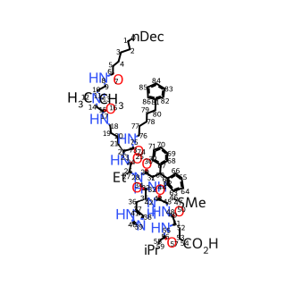 CCCCCCCCCCCCCCCC(=O)NCC[N+](C)(C)CC(=O)NCCCC[C@H](NC(=O)[C@H](CC)NC(=O)[C@@H](NC(=O)[C@H](Cc1cnc[nH]1)NC(=O)[C@H](CSC)NC(=O)[C@H](CCC(=O)O)NC(=O)CC(C)C)C(c1ccccc1)c1ccccc1)C(=O)NCCCCCc1ccccc1